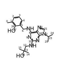 Cc1cccc(CNc2nc(NCC(C)(C)O)nc3c2ncn3C(C)C)c1O